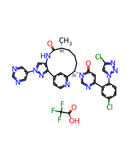 C[C@@H]1CCC[C@H](n2cnc(-c3cc(Cl)ccc3-n3cc(Cl)nn3)cc2=O)c2cc(ccn2)-c2nn(-c3cncnc3)cc2NC1=O.O=C(O)C(F)(F)F